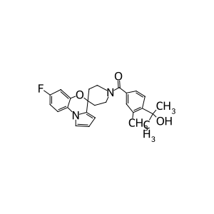 Cc1cc(C(=O)N2CCC3(CC2)Oc2cc(F)ccc2-n2cccc23)ccc1C(C)(C)O